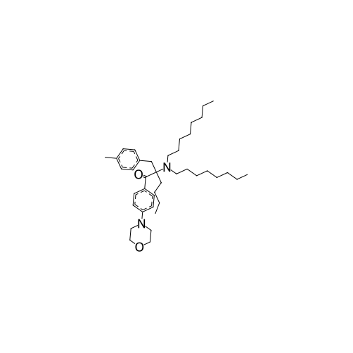 CCCCCCCCN(CCCCCCCC)C(CCCC)(Cc1ccc(C)cc1)C(=O)c1ccc(N2CCOCC2)cc1